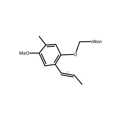 C/C=C/c1cc(OC)c(C)cc1OCCCCCCCCCC